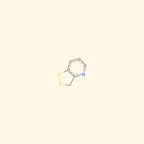 c1cnc2c(c1)SSC2